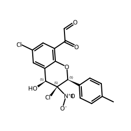 Cc1ccc([C@@H]2Oc3c(C(=O)C=O)cc(Cl)cc3[C@H](O)[C@@]2(Cl)[N+](=O)[O-])cc1